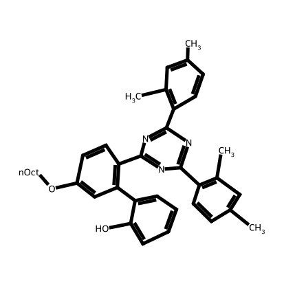 CCCCCCCCOc1ccc(-c2nc(-c3ccc(C)cc3C)nc(-c3ccc(C)cc3C)n2)c(-c2ccccc2O)c1